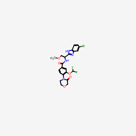 COCC(NC(=O)c1ccc(N2CCOCC2=O)c(OC(F)F)c1)c1nc2cc(Br)ccc2[nH]1